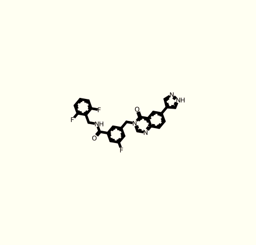 O=C(NCc1c(F)cccc1F)c1cc(F)cc(Cn2cnc3ccc(-c4cn[nH]c4)cc3c2=O)c1